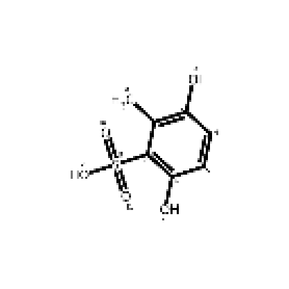 Cc1c(O)ccc(O)c1S(=O)(=O)O